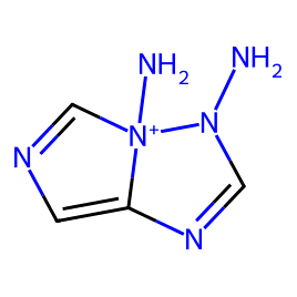 NN1C=NC2=CN=C[N+]21N